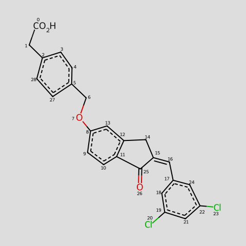 O=C(O)Cc1ccc(COc2ccc3c(c2)CC(=Cc2cc(Cl)cc(Cl)c2)C3=O)cc1